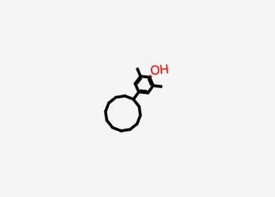 Cc1cc(C2CCCCCCCCCCC2)cc(C)c1O